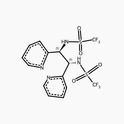 O=S(=O)(N[C@H](c1ccccn1)[C@H](NS(=O)(=O)C(F)(F)F)c1ccccn1)C(F)(F)F